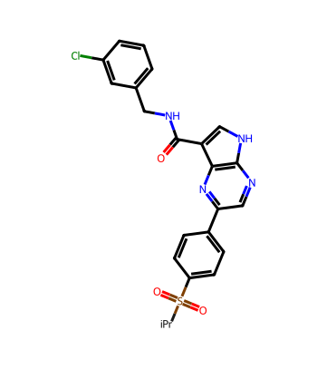 CC(C)S(=O)(=O)c1ccc(-c2cnc3[nH]cc(C(=O)NCc4cccc(Cl)c4)c3n2)cc1